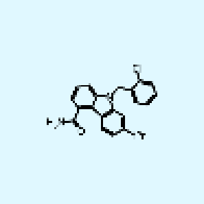 CC(C)c1c[c]c2c3c(C(N)=O)cccc3n(Cc3ccccc3Cl)c2c1